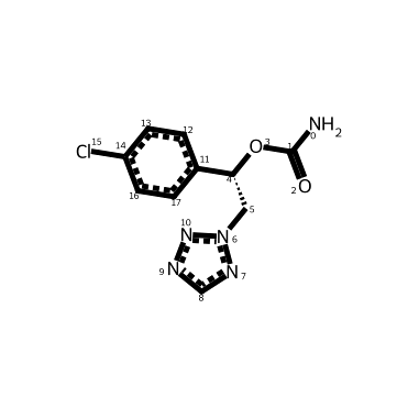 NC(=O)O[C@H](Cn1ncnn1)c1ccc(Cl)cc1